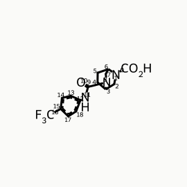 O=C(O)N1CC2CCC1CN2C(=O)Nc1ccc(C(F)(F)F)cc1